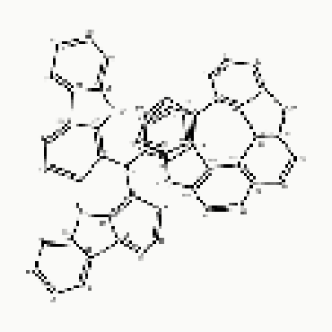 c1cc(-c2ccc(N(c3cccc4c3sc3ccccc34)c3cccc4c3sc3ccccc34)cc2)c2c(c1)oc1ccc3ccc4sc5ccccc5c4c3c12